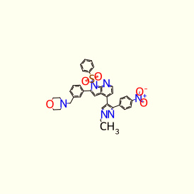 CCn1cc(-c2ccnc3c2cc(-c2cccc(CN4CCOCC4)c2)n3S(=O)(=O)c2ccccc2)c(-c2ccc([N+](=O)[O-])cc2)n1